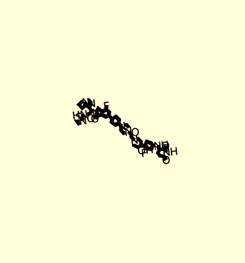 O=C1CCC(Nc2ccc(C3(O)CCN(CC(=O)N4CCN(c5ccc(-c6cc(F)c7c(c6)C(=O)N(C(C(=O)Nc6nccs6)c6ncn8c6CCC8)C7)cc5)CC4)CC3)c(F)c2)C(=O)N1